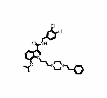 CC(C)Oc1cccc2c(C(=O)NCc3ccc(Cl)c(Cl)c3)cn(CCCN3CCN(CCc4ccccc4)CC3)c12